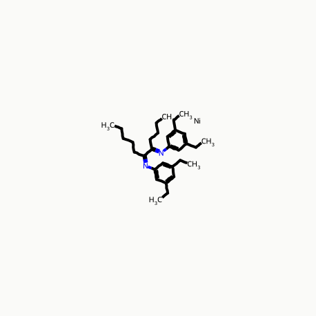 CCCCCC(=Nc1cc(CC)cc(CC)c1)C(CCCC)=Nc1cc(CC)cc(CC)c1.[Ni]